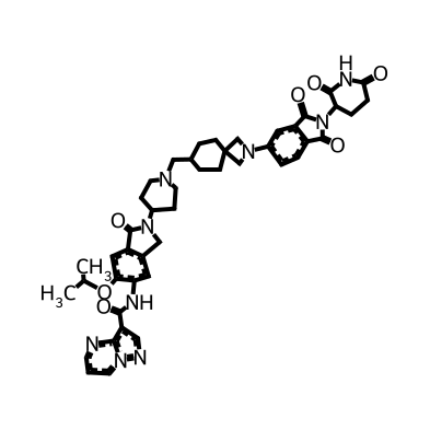 CC(C)Oc1cc2c(cc1NC(=O)c1cnn3cccnc13)CN(C1CCN(CC3CCC4(CC3)CN(c3ccc5c(c3)C(=O)N(C3CCC(=O)NC3=O)C5=O)C4)CC1)C2=O